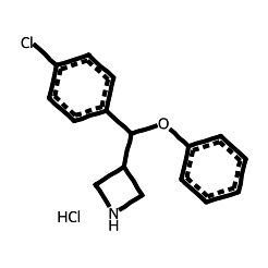 Cl.Clc1ccc(C(Oc2ccccc2)C2CNC2)cc1